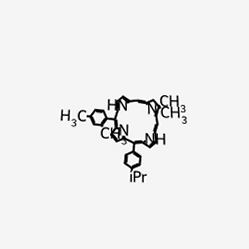 Cc1ccc(-c2c3nc(c(-c4ccc(C(C)C)cc4)c4ccc(cc5nc(cc6ccc2[nH]6)CC5(C)C)[nH]4)C=C3)c(C)c1